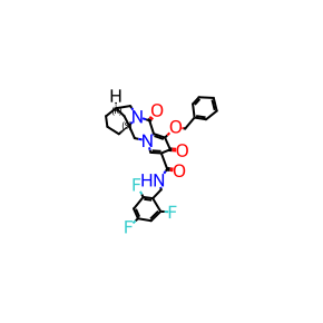 O=C(NCc1c(F)cc(F)cc1F)c1cn2c(c(OCc3ccccc3)c1=O)C(=O)N1C[C@@H]3CCC[C@]1(C3)C2